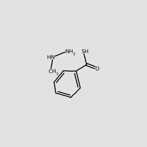 CNN.O=C(S)c1ccccc1